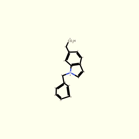 O=C(O)Cc1ccc2ccn(Cc3ccccc3)c2c1